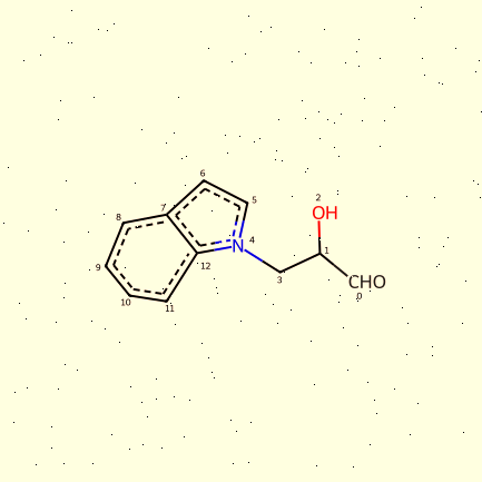 O=CC(O)Cn1ccc2ccccc21